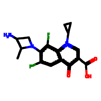 CC1C(N)CN1c1c(F)cc2c(=O)c(C(=O)O)cn(C3CC3)c2c1F